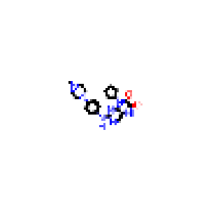 CN1CCN(c2ccc(Nc3ncc4[nH]c(=O)c(=O)n(C5CCCC5)c4n3)cc2)CC1